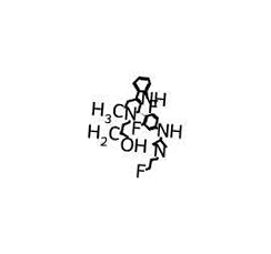 C=C(CO)CCN1[C@@H](c2c(F)cc(NC3CN(CCCF)C3)cc2F)c2[nH]c3ccccc3c2C[C@@H]1C